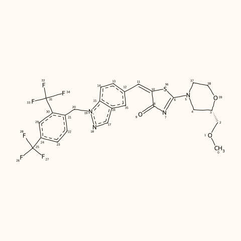 COC[C@@H]1CN(C2=NC(=O)C(=Cc3ccc4c(cnn4Cc4ccc(C(F)(F)F)cc4C(F)(F)F)c3)S2)CCO1